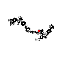 Cc1ncsc1-c1ccc(CNC(=O)[C@@H]2C[C@@H](O)CN2C(=O)C(NC(=O)CCOCCN2CCC(COc3ccc(N4C(=S)N(c5ccc(C#N)c(C(F)(F)F)c5)C(=O)C4(C)C)cc3)CC2)C(C)(C)C)cc1